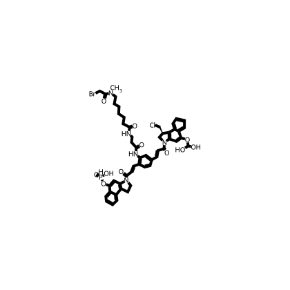 CN(CCCCCCC(=O)NCCC(=O)Nc1cc(/C=C/C(=O)N2C[C@@H](CCl)c3c2cc(OC(O)O)c2ccccc32)ccc1/C=C/C(=O)N1CCc2c1cc(O[PH](=O)O)c1ccccc21)C(=O)CBr